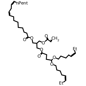 C=CC(=O)OCC(COC(=O)CCCCCCC/C=C\C/C=C\CCCCC)COC(=O)CCC(OCCCC/C=C\CC)OCCCC/C=C\CC